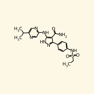 CCS(=O)(=O)Nc1ccc(-c2n[nH]c(Nc3cnc(C(C)C)cn3)c2C(N)=O)cc1